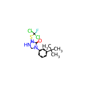 CC(C)(C)c1cccc(N2CNN(SC(F)(Cl)Cl)C2=O)c1